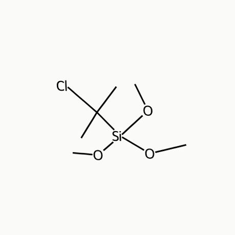 CO[Si](OC)(OC)C(C)(C)Cl